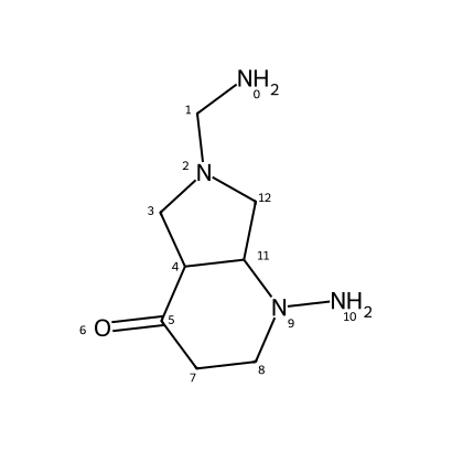 NCN1CC2C(=O)CCN(N)C2C1